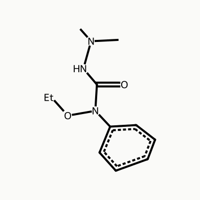 CCON(C(=O)NN(C)C)c1ccccc1